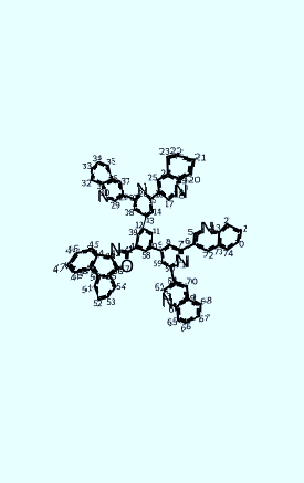 c1ccc2ncc(-c3cc(-c4cc(-c5cc(-c6cnc7ccccc7c6)nc(-c6cnc7ccccc7c6)c5)cc(-c5nc6c7ccccc7c7ccccc7c6o5)c4)cc(-c4cnc5ccccc5c4)n3)cc2c1